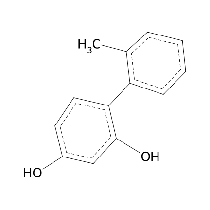 Cc1ccccc1-c1ccc(O)cc1O